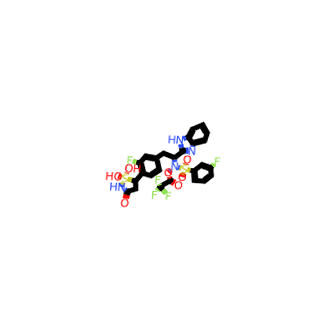 O=C1CC(c2ccc(CC(c3nc4ccccc4[nH]3)N(OC(=O)C(F)(F)F)S(=O)(=O)c3cccc(F)c3)cc2F)S(O)(O)N1